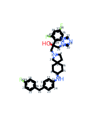 OC(CN1CCC2(CCC(Nc3ccc(Cc4ccc(F)cc4)cc3)CC2)C1)(Cn1cncn1)c1ccc(F)cc1F